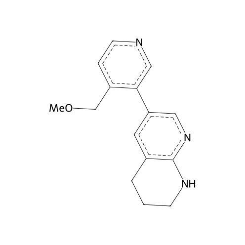 COCc1ccncc1-c1cnc2c(c1)CCCN2